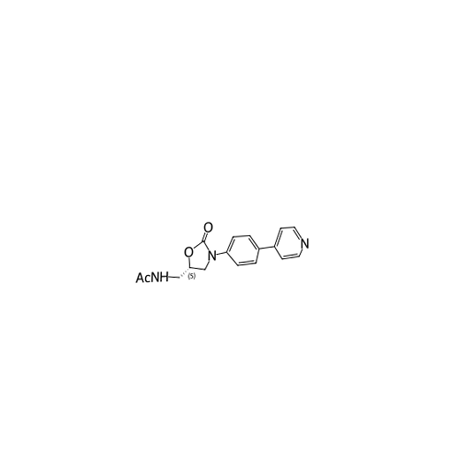 CC(=O)NC[C@H]1CN(c2ccc(-c3ccncc3)cc2)C(=O)O1